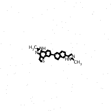 Cc1ncc(-c2ccc3cc(-c4ccc5c(c4)c4sccc4c4nc(C)[nH]c54)ccc3c2)[nH]1